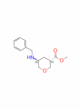 COC(=O)[C@@H]1COC[C@@H](NCc2ccccc2)C1